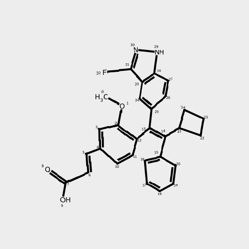 COc1cc(/C=C/C(=O)O)ccc1/C(=C(\c1ccccc1)C1CCC1)c1ccc2[nH]nc(F)c2c1